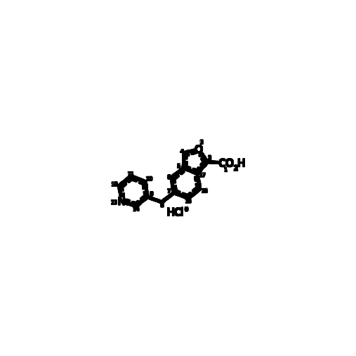 Cl.O=C(O)c1occ2cc(Cc3cccnc3)ccc12